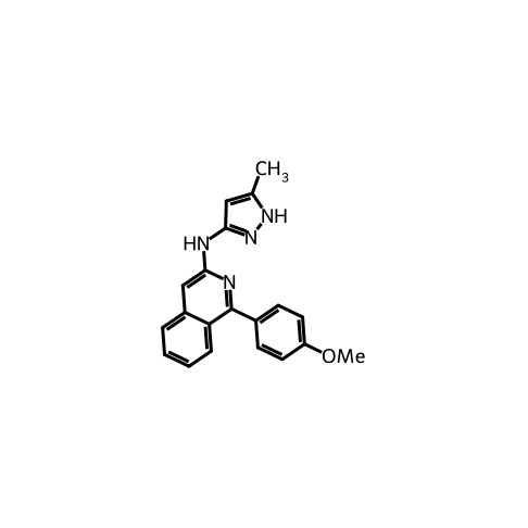 COc1ccc(-c2nc(Nc3cc(C)[nH]n3)cc3ccccc23)cc1